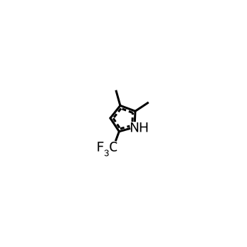 Cc1cc(C(F)(F)F)[nH]c1C